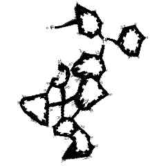 Fc1cccc(N(c2ccccc2)c2ccc3c4c(ccc3c2)-c2c(ccc3ccccc23)C42c3ccccc3-c3ccccc32)c1